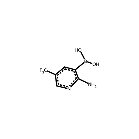 Nc1ncc(C(F)(F)F)cc1B(O)O